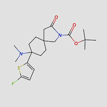 CN(C)C1(c2ccc(F)s2)CCC2(CC1)CC(=O)N(C(=O)OC(C)(C)C)C2